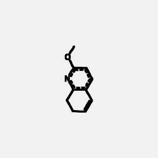 COc1ccc2c(n1)CCC=C2